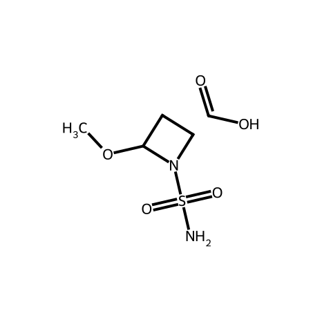 COC1CCN1S(N)(=O)=O.O=CO